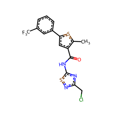 Cc1sc(-c2cccc(C(F)(F)F)c2)cc1C(=O)Nc1nc(CCl)ns1